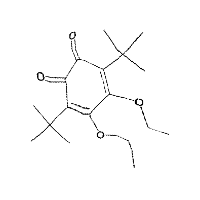 CCOC1=C(C(C)(C)C)C(=O)C(=O)C(C(C)(C)C)=C1OCC